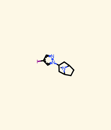 CN1C2CCC1CC(n1cc(I)cn1)C2